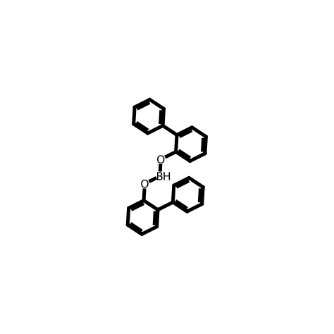 B(Oc1ccccc1-c1ccccc1)Oc1ccccc1-c1ccccc1